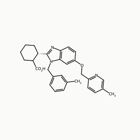 Cc1ccc(COc2ccc3nc([C@H]4CCCCC4C(=O)O)n(Cc4cccc(C)c4)c3c2)nc1